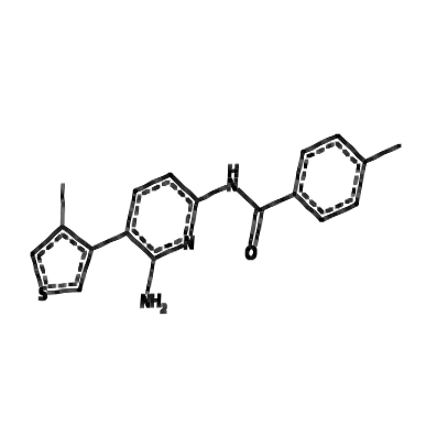 Cc1ccc(C(=O)Nc2ccc(-c3cscc3C)c(N)n2)cc1